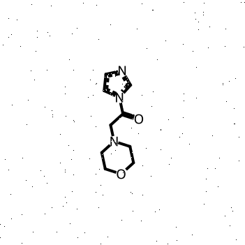 O=C(CN1CCOCC1)n1ccnc1